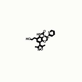 Cc1noc(C)c1-c1cc(CCO)c2[nH]c(=O)n3c2c1OC[C@@H]3c1ccccn1